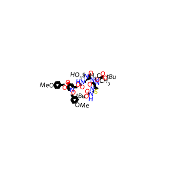 COc1ccc(COc2cn(OCc3ccc(OC)cc3)c(COC(=O)NC[C@@H]3[C@H](NC(=O)/C(=N\OC(C)(C)C(=O)OC(C)(C)C)c4csc(NC(=O)OC(C)(C)C)n4)C(=O)N3S(=O)(=O)O)cc2=O)cc1